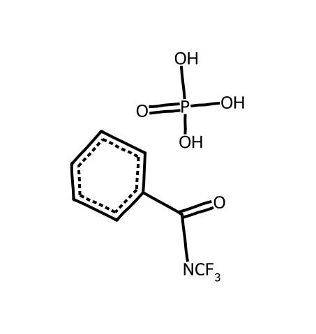 O=C(NC(F)(F)F)c1ccccc1.O=P(O)(O)O